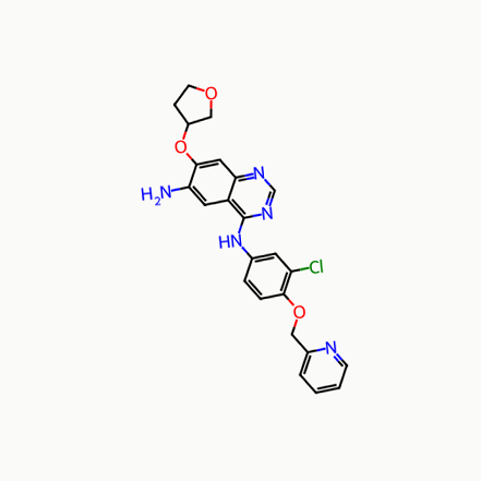 Nc1cc2c(Nc3ccc(OCc4ccccn4)c(Cl)c3)ncnc2cc1OC1CCOC1